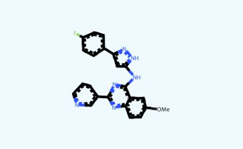 COc1ccc2nc(-c3cccnc3)nc(Nc3cc(-c4ccc(F)cc4)n[nH]3)c2c1